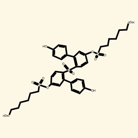 CCCCCCCCCCCCCCCCS(=O)(=O)Oc1ccc(S(=O)(=O)c2ccc(OS(=O)(=O)CCCCCCCCCCCCCCCC)cc2-c2ccc(O)cc2)c(-c2ccc(O)cc2)c1